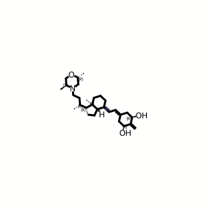 C=C1[C@H](O)CC(=C/C=C2\CCC[C@]3(C)[C@@H]([C@H](C)CCN4C[C@@H](C)OC[C@@H]4C)CC[C@@H]23)C[C@H]1O